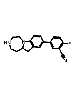 N#Cc1cc(-c2ccc3c(c2)CC2CCNCCN32)ccc1F